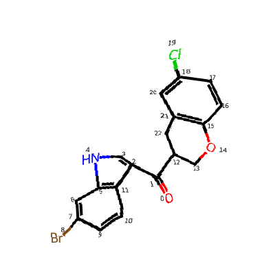 O=C(c1c[nH]c2cc(Br)ccc12)C1COc2ccc(Cl)cc2C1